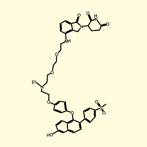 CCN(CCOCCOCCNc1cccc2c1CN(C1CCC(=O)NC1=O)C2=O)CCOc1ccc(Oc2c(-c3ccc(S(C)(=O)=O)cc3)ccc3cc(O)ccc23)cc1